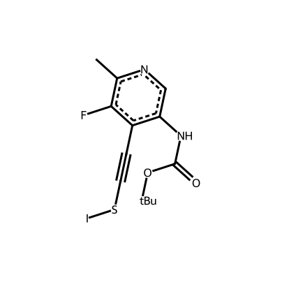 Cc1ncc(NC(=O)OC(C)(C)C)c(C#CSI)c1F